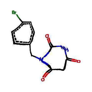 O=C1CC(=O)N(Cc2ccc(Br)cc2)C(=O)N1